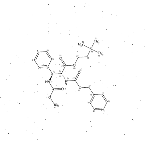 CC(C)(C)OC(=O)N[C@@H](c1ccccc1)[C@@H](NC(=O)OCc1ccccc1)C(=O)OCC[Si](C)(C)C